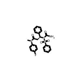 CN(C(=O)C[C@@H](c1ccccc1)N(C(N)=O)S(=O)(=O)c1ccccc1)c1ccc(F)cc1